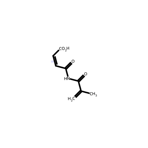 C=C(C)C(=O)NC(=O)/C=C\C(=O)O